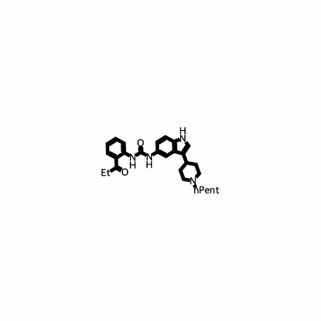 CCCCCN1CCC(c2c[nH]c3ccc(NC(=O)Nc4ccccc4C(=O)CC)cc23)CC1